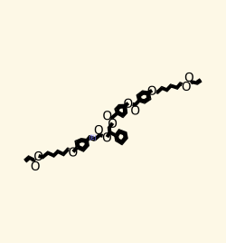 C=CC(=O)OCCCCCCOc1ccc(/C=C/C(=O)OC(COC(=O)c2ccc(OC(=O)c3ccc(OCCCCCCOC(=O)C=C)cc3)cc2)c2ccccc2)cc1